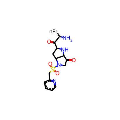 CCCC(N)C(=O)C1CC2C(N1)C(=O)CN2S(=O)(=O)Cc1ccccn1